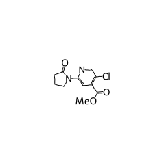 COC(=O)c1cc(N2CCCC2=O)ncc1Cl